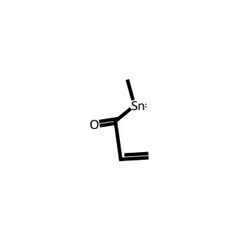 C=C[C](=O)[Sn][CH3]